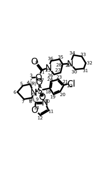 O=C(OC[C@H]1CCC[C@@H](c2ncco2)N1S(=O)(=O)c1ccc(Cl)cc1)N1CCC(N2CCCCC2)CC1